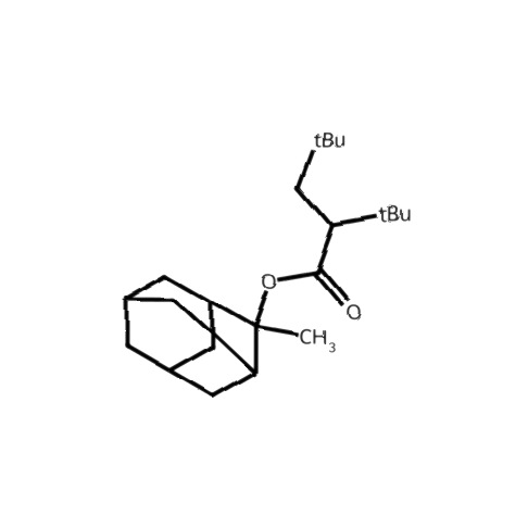 CC(C)(C)CC(C(=O)OC1(C)C2CC3CC(C2)CC1C3)C(C)(C)C